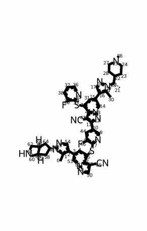 Cc1c(-c2cc(Sc3ncc(-c4nn5cc(-c6cnn([C@@H](C)C7CCN(C)CC7)c6C)cc(Sc6ncccc6F)c5c4C#N)cc3F)c3c(C#N)cnn3c2)cnn1[C@@H]1C[C@H]2CNC[C@H]2C1